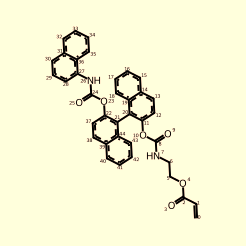 C=CC(=O)OCCNC(=O)Oc1ccc2ccccc2c1-c1c(OC(=O)Nc2cccc3ccccc23)ccc2ccccc12